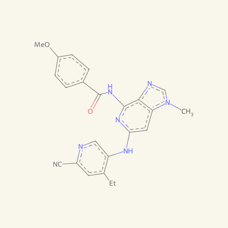 CCc1cc(C#N)ncc1Nc1cc2c(ncn2C)c(NC(=O)c2ccc(OC)cc2)n1